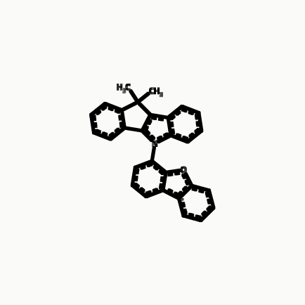 CC1(C)c2ccccc2-c2c1c1ccccc1n2-c1cccc2c1oc1ccccc12